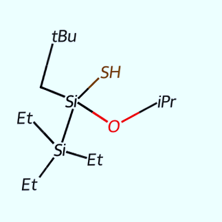 CC[Si](CC)(CC)[Si](S)(CC(C)(C)C)OC(C)C